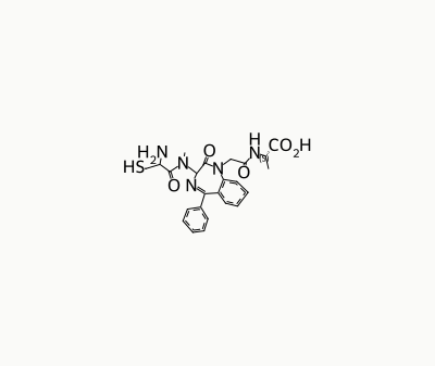 C[C@H](NC(=O)CN1C(=O)C(N(C)C(=O)C(N)CS)N=C(c2ccccc2)c2ccccc21)C(=O)O